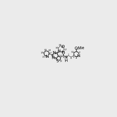 COc1cncc(CCNC(=O)c2csc3nc(-c4ccccn4)nc(N4CCOCC4)c23)c1